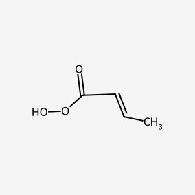 C/C=C/C(=O)OO